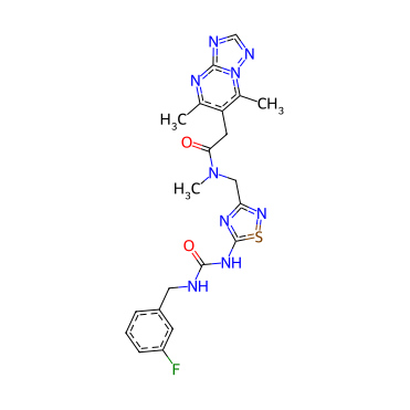 Cc1nc2ncnn2c(C)c1CC(=O)N(C)Cc1nsc(NC(=O)NCc2cccc(F)c2)n1